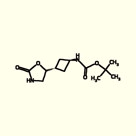 CC(C)(C)OC(=O)N[C@H]1C[C@H](C2CNC(=O)O2)C1